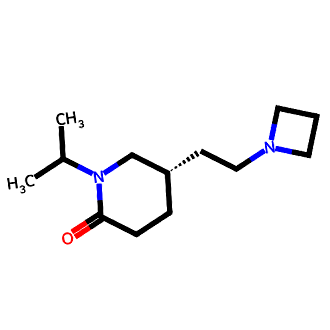 CC(C)N1C[C@H](CCN2CCC2)CCC1=O